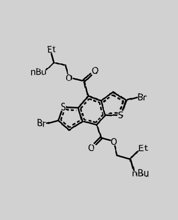 CCCCC(CC)COC(=O)c1c2cc(Br)sc2c(C(=O)OCC(CC)CCCC)c2cc(Br)sc12